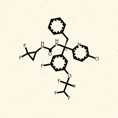 O=C(NC1CC1(F)F)N[C@@](Cc1ccccc1)(c1cc(F)cc(OC(F)(F)C(F)F)c1)c1ccc(Cl)cn1